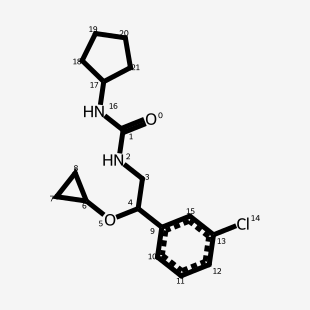 O=C(NCC(OC1CC1)c1cccc(Cl)c1)NC1CCCC1